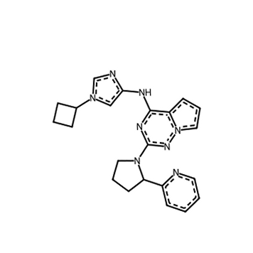 c1ccc(C2CCCN2c2nc(Nc3cn(C4CCC4)cn3)c3cccn3n2)nc1